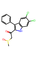 C[S+]([O-])CC(=O)c1[nH]c2cc(Cl)c(Cl)cc2c1-c1ccccc1